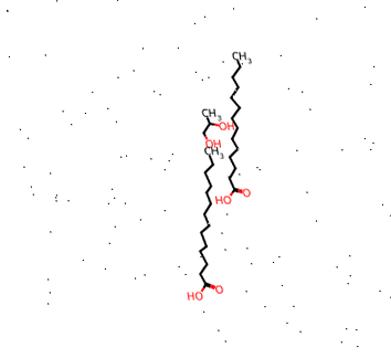 CC(O)CO.CCCCCCCCCCCCCC(=O)O.CCCCCCCCCCCCCC(=O)O